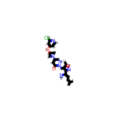 C=N/C(=C\C=C(C)C)c1noc(C)c1Cn1ncc(N2CC(Oc3ccnc(Cl)c3)C2)cc1=O